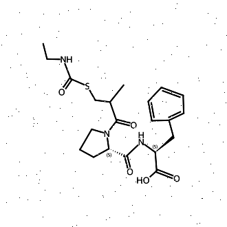 CCNC(=O)SCC(C)C(=O)N1CCC[C@H]1C(=O)N[C@@H](Cc1ccccc1)C(=O)O